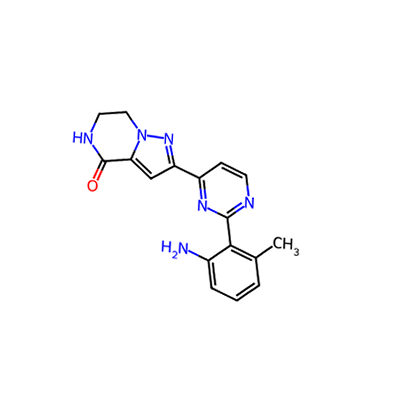 Cc1cccc(N)c1-c1nccc(-c2cc3n(n2)CCNC3=O)n1